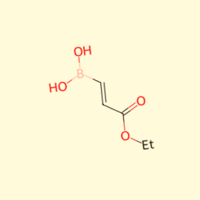 CCOC(=O)/C=C/B(O)O